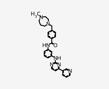 CN1CCCN(Cc2ccc(C(=O)Nc3cccc(Nc4nccc(-c5cccnc5)n4)c3)cc2)CC1